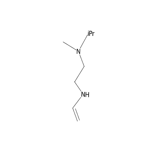 C=CNCCN(C)C(C)C